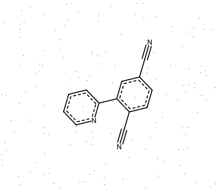 N#Cc1ccc(C#N)c(-c2ccc[c]n2)c1